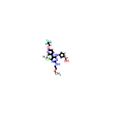 COCCNc1nc(Cl)c(-c2ccc(OCC(F)(F)F)nc2C)c(N[C@H]2CC[C@@H](CO)C2)n1